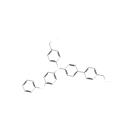 OCc1ccc(-c2ccc(N(c3ccc(CO)cc3)c3ccc(Oc4ccccc4)cc3)cc2)cc1